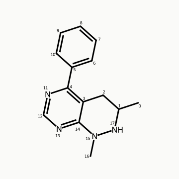 CC1Cc2c(-c3ccccc3)ncnc2N(C)N1